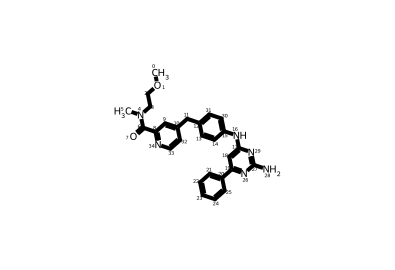 COCCN(C)C(=O)c1cc(Cc2ccc(Nc3cc(-c4ccccc4)nc(N)n3)cc2)ccn1